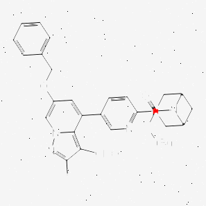 CC(C)(C)OC(=O)N1C2CC1CN(c1ccc(-c3cc(OCc4ccccc4)cn4nc(F)c(C=O)c34)cn1)C2